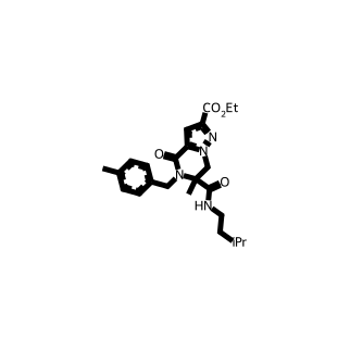 CCOC(=O)c1cc2n(n1)CC(C)(C(=O)NCCC(C)C)N(Cc1ccc(C)cc1)C2=O